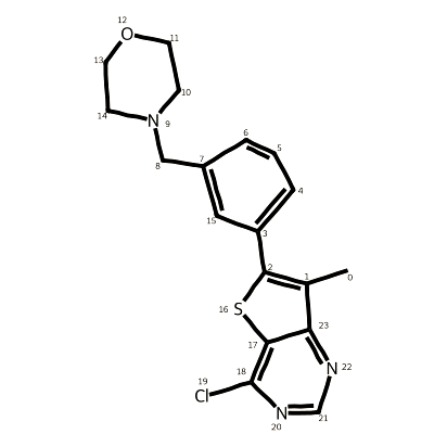 Cc1c(-c2cccc(CN3CCOCC3)c2)sc2c(Cl)ncnc12